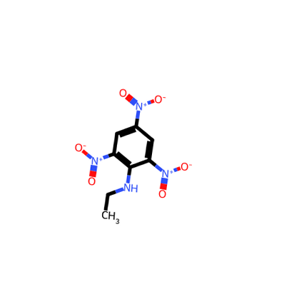 CCNc1c([N+](=O)[O-])cc([N+](=O)[O-])cc1[N+](=O)[O-]